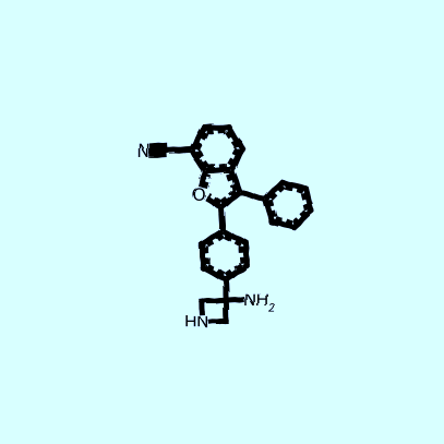 N#Cc1cccc2c(-c3ccccc3)c(-c3ccc(C4(N)CNC4)cc3)oc12